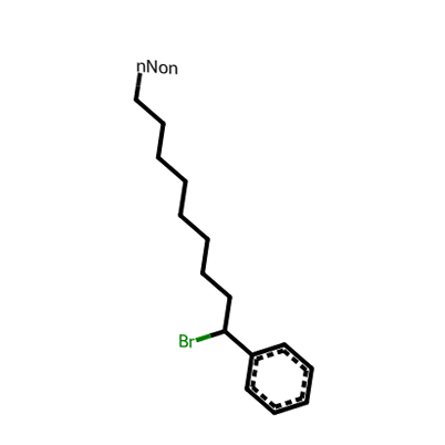 CCCCCCCCCCCCCCCCCC(Br)c1ccccc1